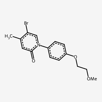 COCCOc1ccc(-n2cc(Br)c(C)cc2=O)cc1